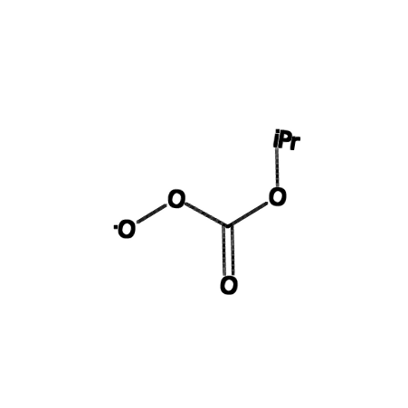 CC(C)OC(=O)O[O]